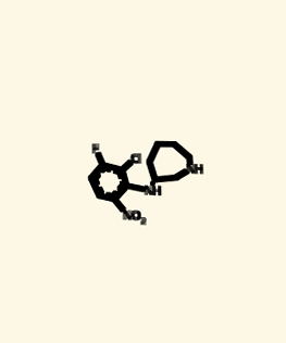 O=[N+]([O-])c1ccc(F)c(Cl)c1N[C@@H]1CCCCNC1